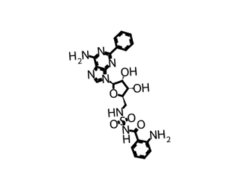 Nc1ccccc1C(=O)NS(=O)(=O)NC[C@H]1O[C@@H](n2cnc3c(N)nc(-c4ccccc4)nc32)[C@H](O)[C@@H]1O